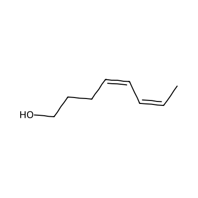 C/C=C\C=C/CCCO